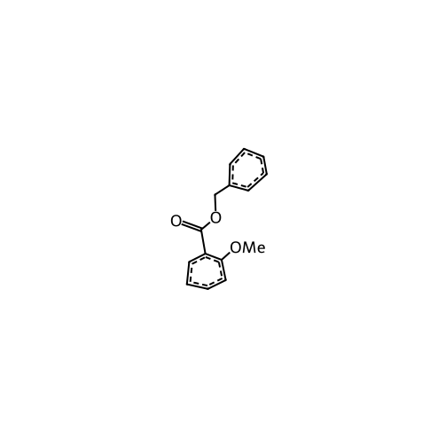 COc1ccccc1C(=O)OCc1ccccc1